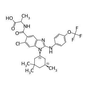 CC(NC(=O)c1cc2nc(Nc3ccc(OC(F)(F)F)cc3)n([C@H]3C[C@@H](C)CC(C)(C)C3)c2cc1Cl)C(=O)O